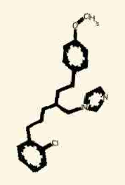 COc1ccc(CCC(CCCc2ccccc2Cl)Cn2ccnc2)cc1